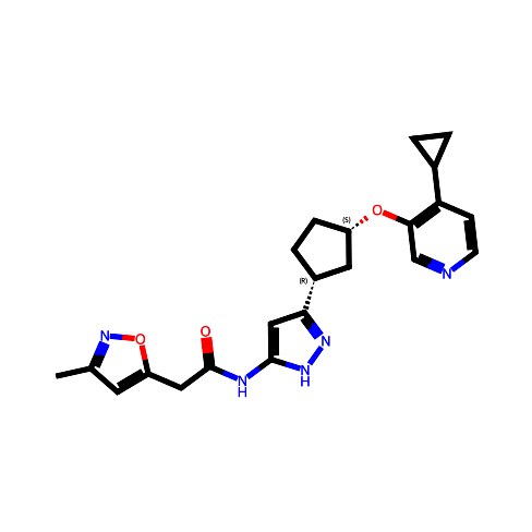 Cc1cc(CC(=O)Nc2cc([C@@H]3CC[C@H](Oc4cnccc4C4CC4)C3)n[nH]2)on1